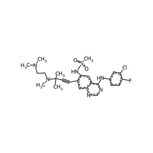 CN(C)CCN(C)C(C)(C)C#Cc1cc2ncnc(Nc3ccc(F)c(Cl)c3)c2cc1NS(C)(=O)=O